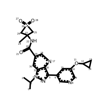 CC(C)n1nc(-c2cncc(OC3CC3)c2)c2ncc(C(=O)NC3(C)CS(=O)(=O)C3)cc21